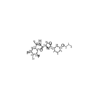 CCCOc1cccc(-c2nc(C(=O)N[C@H](C)c3cc(F)c(C)c(F)c3)co2)c1